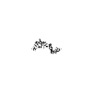 COc1cc(C(=O)NC2CCN(C(=O)N3CCN(c4cccc5c4C(=O)N(C4CCC(=O)NC4=O)C5=O)CC3)CC2)c(F)cc1Nc1ncc2c(n1)N(C1CCCC1)CC(F)(F)C(=O)N2C